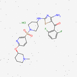 CN1CCC[C@@H](Oc2ccc(S(=O)(=O)N3CCC(Nc4nc(N)c(C(=O)c5c(F)cccc5F)s4)CC3)cn2)C1.Cl